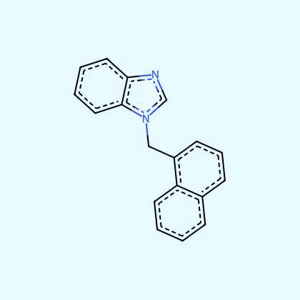 c1ccc2c(Cn3cnc4ccccc43)cccc2c1